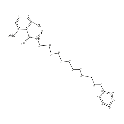 COc1cccc(Cl)c1C(=O)[PH](=O)CCCCCCCCCCCCc1ccccc1